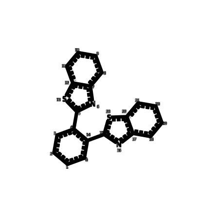 [c]1cccc(-c2nc3ccccc3s2)c1-c1nc2ccccc2s1